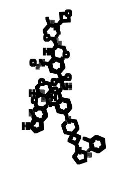 Cc1ccccc1[C@@H]1CCCN1C1CC2(CCN(c3ccc(C(=O)NS(=O)(=O)c4cc5c(c([N+](=O)[O-])c4)N[C@@H]([C@H]4CN(C6COC6)[C@H](C)CO4)CO5)c(N4c5cc6cc[nH]c6nc5O[C@@H]5COCC[C@@H]54)c3)CC2)C1